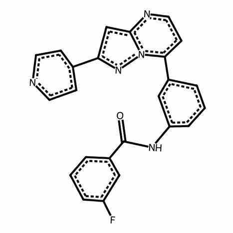 O=C(Nc1cccc(-c2ccnc3cc(-c4ccncc4)nn23)c1)c1cccc(F)c1